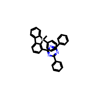 C[Si]1(c2ccccc2)c2ccccc2-c2cccc(-c3nc(-c4ccccc4)nc(-c4ccccc4)n3)c21